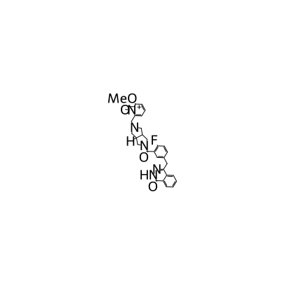 COc1cccc(CN2CC3CN(C(=O)c4cc(Cc5n[nH]c(=O)c6ccccc56)ccc4F)C[C@@H]3C2)[n+]1[O-]